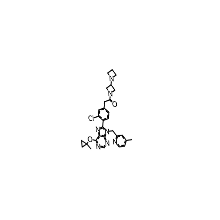 Cc1ccnc(Cn2c(-c3ccc(CC(=O)N4CC(N5CCC5)C4)cc3Cl)nc3c(OC4(C)CC4)ncnc32)c1